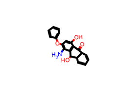 Nc1c(Oc2ccccc2)cc(O)c2c1C(O)C1C=CC=CC1C2=O